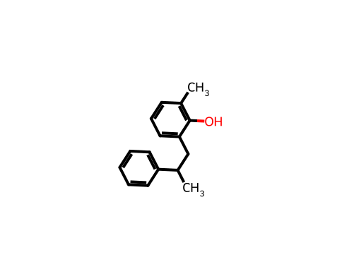 Cc1cccc(CC(C)c2ccccc2)c1O